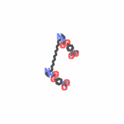 O=C(Oc1ccc([N+](=O)[O-])cc1)N1CC=NC1CCCCCCCCCCCCC1N=CCN1C(=O)Oc1ccc([N+](=O)[O-])cc1